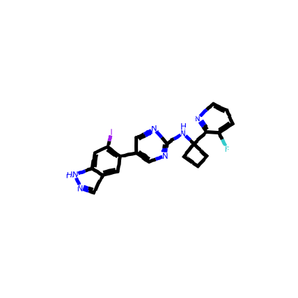 Fc1cccnc1C1(Nc2ncc(-c3cc4cn[nH]c4cc3I)cn2)CCC1